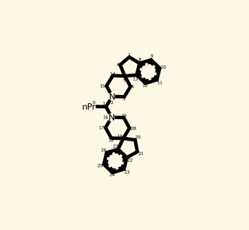 CCCC(N1CCC2(CCc3ccccc32)CC1)N1CCC2(CCc3ccccc32)CC1